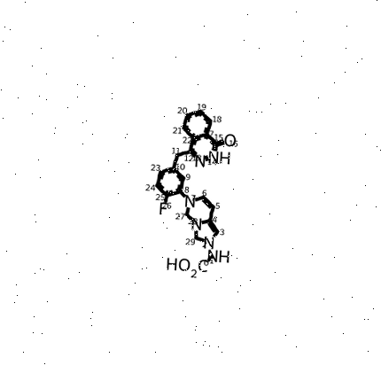 O=C(O)NN1C=C2C=CN(c3cc(Cc4n[nH]c(=O)c5ccccc45)ccc3F)CN2C1